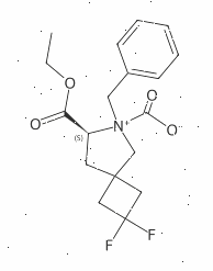 CCOC(=O)[C@@H]1CC2(CC(F)(F)C2)C[N+]1(Cc1ccccc1)C(=O)[O-]